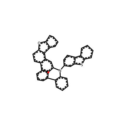 c1ccc(-c2ccccc2N(c2ccc3c(c2)sc2ccccc23)c2ccc3ccc4oc5ccccc5c4c3c2)cc1